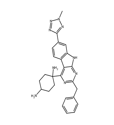 Cn1nnc(-c2ccc3c(c2)[nH]c2nc(Cc4ccccc4)nc(C4(N)CCC(N)CC4)c23)n1